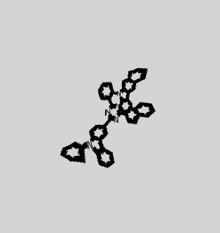 c1ccc(-n2c3ccccc3c3cc(-c4nc(-c5ccc6ccccc6c5)nc(-c5ccccc5-n5c6ccccc6c6cc7ccccc7cc65)n4)ccc32)cc1